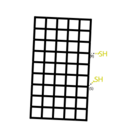 S[C@]12C3C4CC5C6C7C8CC9C%10C%11C%12C%13C%14C%15C%16CC%17C%18C%19C%20CC%21C%22C%23%24C%20%21C%19%20C%18%19C%17%16C%15%16C%14%15C%13%14C%12%13C%11%12C%10%11C89C78C67C54C34C73C8%11C%125C%136C%147C%158C%19%16C%20%23C89C78C7%10C(C1C71C68C35C412)[C@]%22(S)C%24%109